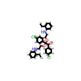 CCc1ccccc1NCCOC(OCCNc1ccccc1CC)(C(=O)c1ccc(Cl)cc1)c1ccc(Cl)cc1